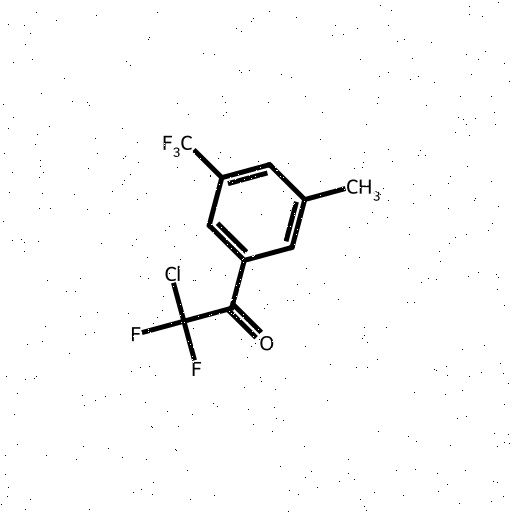 Cc1cc(C(=O)C(F)(F)Cl)cc(C(F)(F)F)c1